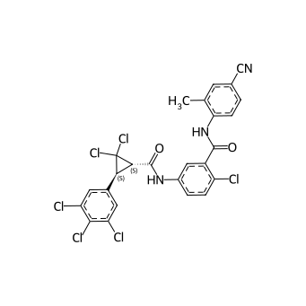 Cc1cc(C#N)ccc1NC(=O)c1cc(NC(=O)[C@@H]2[C@@H](c3cc(Cl)c(Cl)c(Cl)c3)C2(Cl)Cl)ccc1Cl